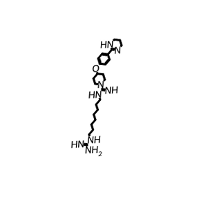 N=C(N)NCCCCCCCCNC(=N)N1CCC(Oc2ccc(C3=NCCCN3)cc2)CC1